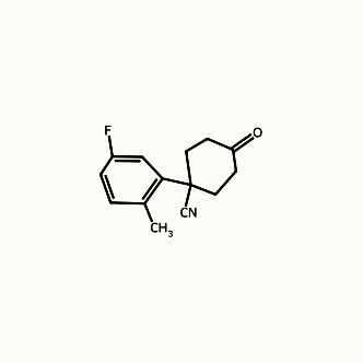 Cc1ccc(F)cc1C1(C#N)CCC(=O)CC1